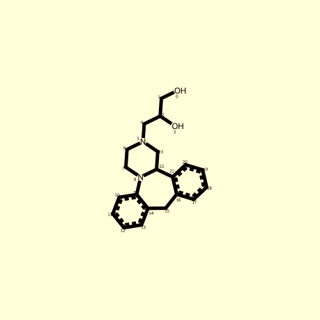 OCC(O)CN1CCN2c3ccccc3Cc3ccccc3C2C1